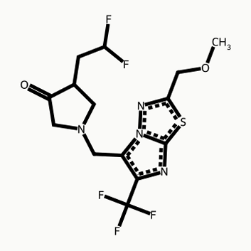 COCc1nn2c(CN3CC(=O)C(CC(F)F)C3)c(C(F)(F)F)nc2s1